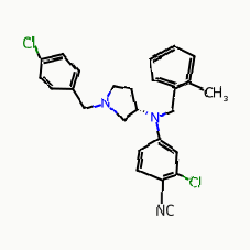 [C-]#[N+]c1ccc(N(Cc2ccccc2C)[C@H]2CCN(Cc3ccc(Cl)cc3)C2)cc1Cl